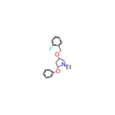 CCN1CC(OCc2ccccc2F)CC1Oc1ccccc1